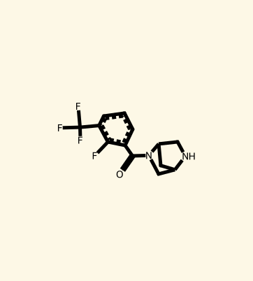 O=C(c1cccc(C(F)(F)F)c1F)N1CC2CC1CN2